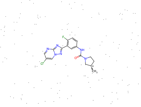 C[C@@H]1CCN(C(=O)Nc2ccc(F)c(-c3nc4ncc(Cl)cn4n3)c2)C1